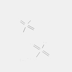 O=S(=O)([O-])[O-].O=S(=O)([O-])[O-].[Fe+2].[Fe+2]